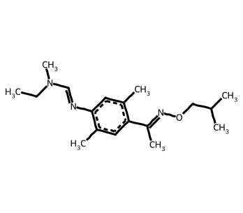 CCN(C)C=Nc1cc(C)c(C(C)=NOCC(C)C)cc1C